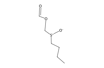 CCCC[S+]([O-])COC=O